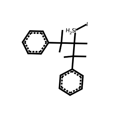 CC(C)(c1ccccc1)C(C)([SiH2]I)C(C)(C)c1ccccc1